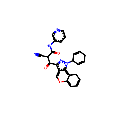 N#CC(C(=O)Nc1cccnc1)C(=O)c1nn(C2C=CCC=C2)c2c1=COC1=CC=CCC=21